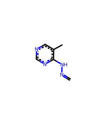 C=NNc1ncncc1C